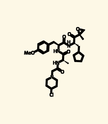 COc1ccc(C[C@H](NC(=O)[C@H](C)NC(=O)CN2CCC(Cl)CC2)C(=O)N[C@@H](CC2CCCC2)C(=O)[C@@]2(C)CO2)cc1